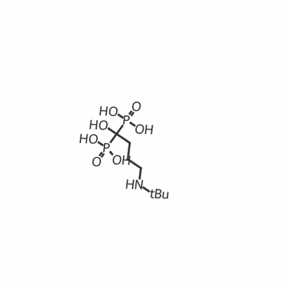 CC(C)(C)NCCCC(O)(P(=O)(O)O)P(=O)(O)O